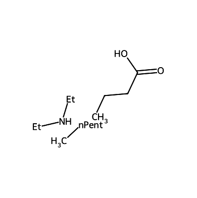 CCCC(=O)O.CCCCCC.CCNCC